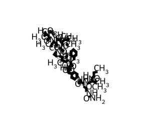 CCCC(=O)NC(C(=O)N[C@@H](CCCNC(N)=O)C(=O)Nc1ccc(CS(=O)(=O)NC(=O)[C@H](Cc2ccccc2)NC(=O)[C@H](C)[C@@H](OC)[C@@H]2CCCN2C(=O)C[C@@H](OC)C(C(C)CC)N(C)C(=O)[C@@H](NC(=O)C(C(C)C)N(C)C)C(C)C)cc1)C(C)C